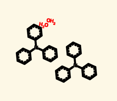 O.O.c1cc[c]([Bi]([c]2ccccc2)[c]2ccccc2)cc1.c1cc[c]([Bi]([c]2ccccc2)[c]2ccccc2)cc1